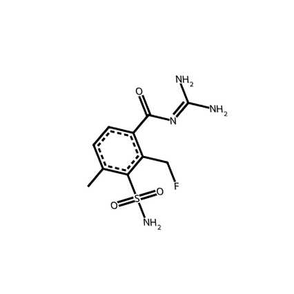 Cc1ccc(C(=O)N=C(N)N)c(CF)c1S(N)(=O)=O